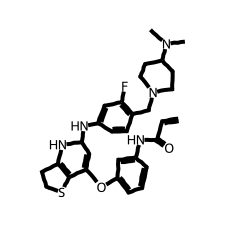 C=CC(=O)Nc1cccc(OC2=CC(Nc3ccc(CN4CCC(N(C)C)CC4)c(F)c3)NC3=C2SCC3)c1